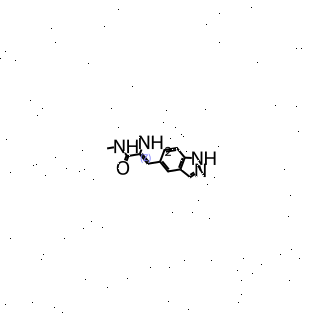 CNC(=O)/C(N)=C/c1ccc2[nH]ncc2c1